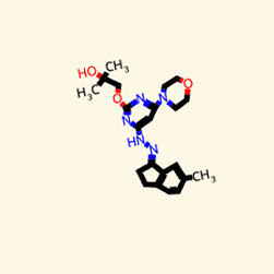 Cc1ccc2c(c1)/C(=N/Nc1cc(N3CCOCC3)nc(OCC(C)(C)O)n1)CC2